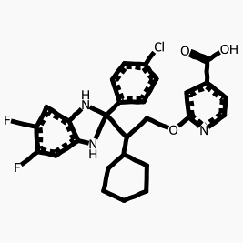 O=C(O)c1ccnc(OCC(C2CCCCC2)C2(c3ccc(Cl)cc3)Nc3cc(F)c(F)cc3N2)c1